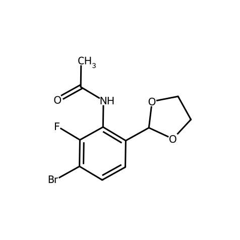 CC(=O)Nc1c(C2OCCO2)ccc(Br)c1F